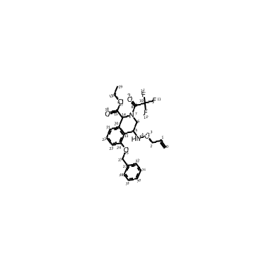 C=CCONC1CN(C(=O)C(F)(F)F)C(C(=O)OCC)c2cccc(OCc3ccccc3)c21